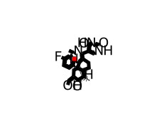 Cc1nc(-c2c[nH]c(=O)[nH]c2=O)c2c(n1)[C@@]1(c3ccc(F)cc3)CC(=CO)C(=O)[C@@H](C)[C@@H]1CC2